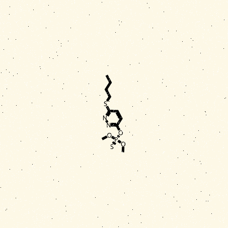 CCCCSc1ccc(OP(=S)(OC)OC)nn1